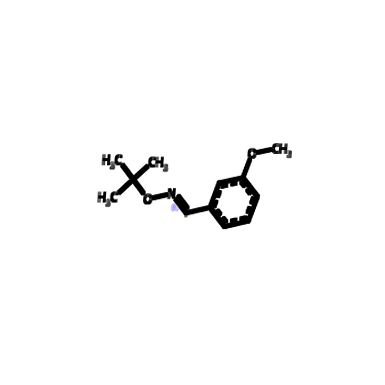 COc1cccc(/[C]=N/OC(C)(C)C)c1